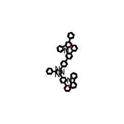 c1ccc(-c2ccc3c(c2)c2ccccc2n3-c2cc(-c3ccc(-c4nc(-c5ccccc5)nc(-c5ccc(-c6ccccc6)c(-n6c7ccccc7c7ccccc76)c5)n4)cc3)ccc2-c2ccccc2)cc1